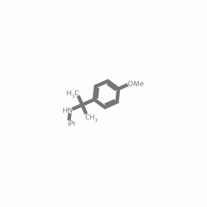 COc1ccc(C(C)(C)NC(C)C)cc1